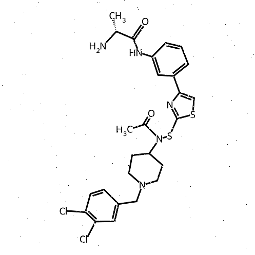 CC(=O)N(Sc1nc(-c2cccc(NC(=O)[C@@H](C)N)c2)cs1)C1CCN(Cc2ccc(Cl)c(Cl)c2)CC1